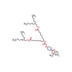 CCCCCC(CCCCC)CCOC(=O)CCCCCCCC(CCCCCCCC(=O)OCCC(CCCCC)CCCCC)OC(=O)COC1CCN(C(=O)OC(C)(C)C)CC1